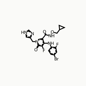 O=C(NOCC1CC1)c1cn(Cc2c[nH]cn2)c(=O)c(F)c1Nc1ccc(Br)cc1F